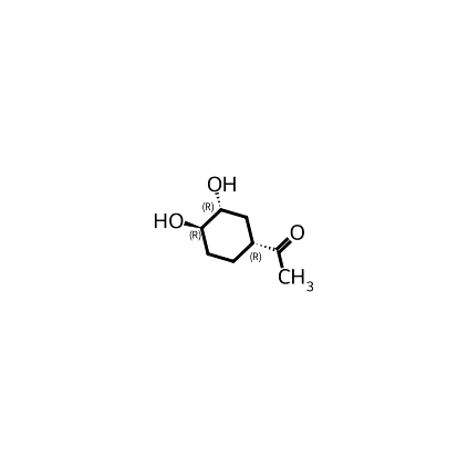 CC(=O)[C@@H]1CC[C@@H](O)[C@H](O)C1